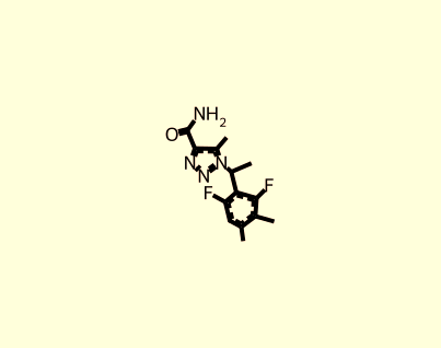 Cc1cc(F)c(C(C)n2nnc(C(N)=O)c2C)c(F)c1C